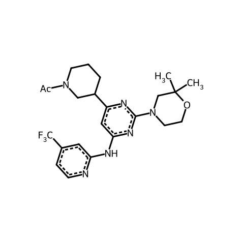 CC(=O)N1CCCC(c2cc(Nc3cc(C(F)(F)F)ccn3)nc(N3CCOC(C)(C)C3)n2)C1